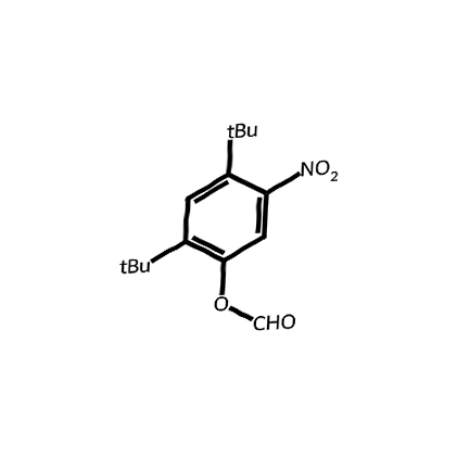 CC(C)(C)c1cc(C(C)(C)C)c([N+](=O)[O-])cc1OC=O